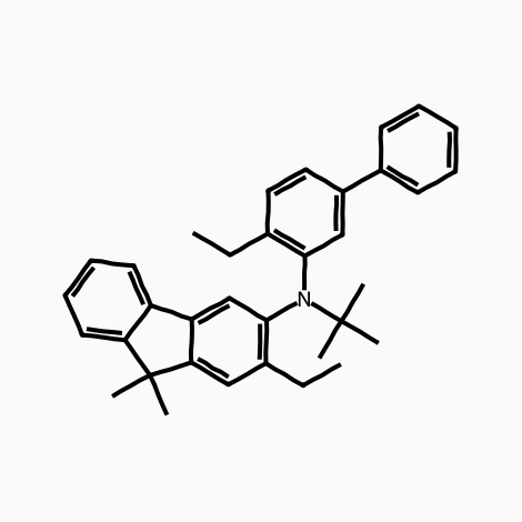 CCc1ccc(-c2ccccc2)cc1N(c1cc2c(cc1CC)C(C)(C)c1ccccc1-2)C(C)(C)C